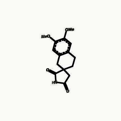 COc1cc2c(cc1OC)CC1(CC2)CC(=O)NC1=O